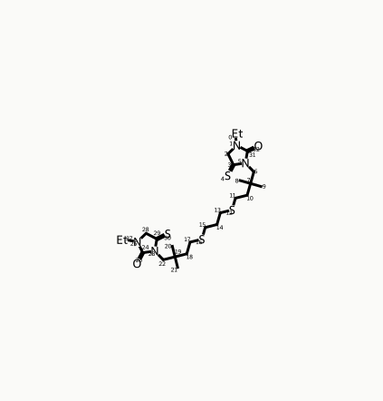 CCN1CC(=S)N(CC(C)(C)CCSCCCSCCC(C)(C)CN2C(=O)N(CC)CC2=S)C1=O